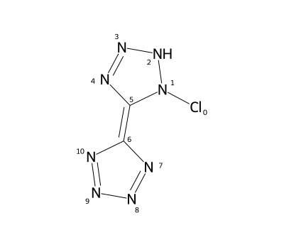 ClN1NN=NC1=C1N=NN=N1